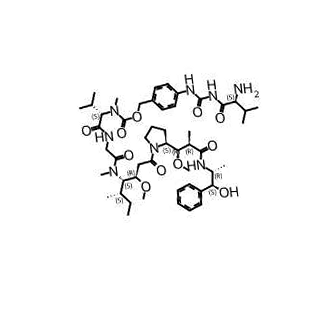 CC[C@H](C)[C@@H]([C@@H](CC(=O)N1CCC[C@H]1[C@H](OC)[C@@H](C)C(=O)N[C@H](C)[C@@H](O)c1ccccc1)OC)N(C)C(=O)CNC(=O)[C@H](C(C)C)N(C)C(=O)OCc1ccc(NC(=O)NC(=O)[C@@H](N)C(C)C)cc1